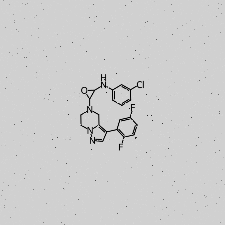 Fc1ccc(F)c(-c2cnn3c2CN(C2OC2Nc2cccc(Cl)c2)CC3)c1